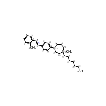 C[n+]1ccccc1/C=C/c1ccc(N2CCC[N+](C)(CCCCCCS)CC2)cc1